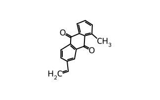 C=Cc1ccc2c(c1)C(=O)c1c(C)cccc1C2=O